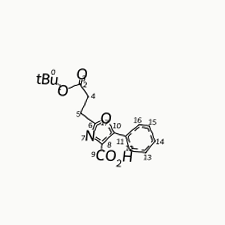 CC(C)(C)OC(=O)CCc1nc(C(=O)O)c(-c2ccccc2)o1